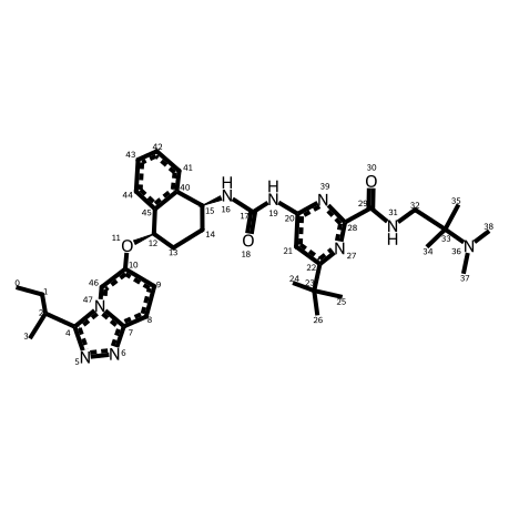 CCC(C)c1nnc2ccc(O[C@@H]3CC[C@H](NC(=O)Nc4cc(C(C)(C)C)nc(C(=O)NCC(C)(C)N(C)C)n4)c4ccccc43)cn12